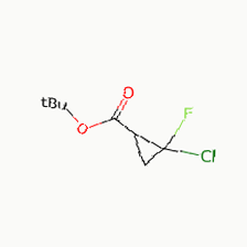 CC(C)(C)OC(=O)C1CC1(F)Cl